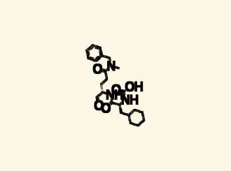 CN(Cc1ccccc1)C(=O)CC[C@@H](C=O)NC(=O)[C@H](CC1CCCCC1)NC(=O)O